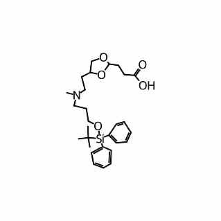 CN(CCCO[Si](c1ccccc1)(c1ccccc1)C(C)(C)C)CCC1COC(CCC(=O)O)O1